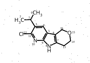 CC(C)c1cc2c3c([nH]c2nc1Cl)CCOC3